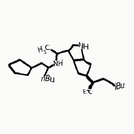 CCCCC(CC1CCCC1)NC(C)C1CNC2CC(C(CC)CC(C)CC)CC21